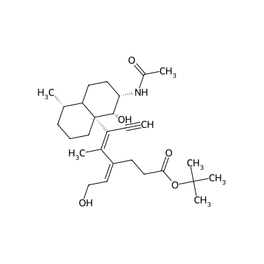 C#C/C(=C(C)\C(=C/CO)CCC(=O)OC(C)(C)C)[C@]12CCC[C@H](C)C1CC[C@H](NC(C)=O)[C@@H]2O